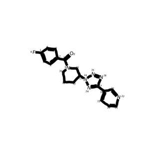 O=C(c1ccc(F)cc1)N1CCCC(n2nnc(-c3cccnc3)n2)C1